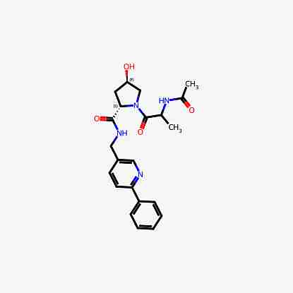 CC(=O)NC(C)C(=O)N1C[C@H](O)C[C@H]1C(=O)NCc1ccc(-c2ccccc2)nc1